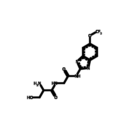 NC(CO)C(=O)NCC(=O)Nc1nc2ccc(OC(F)(F)F)cc2s1